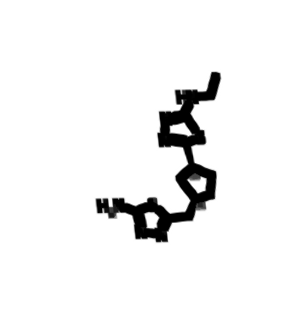 CCNc1nnc([C@H]2CC[C@@H](Cc3nnc(N)s3)C2)s1